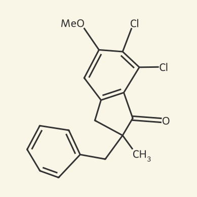 COc1cc2c(c(Cl)c1Cl)C(=O)C(C)(Cc1ccccc1)C2